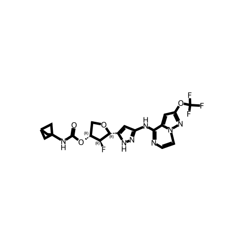 O=C(NC12CC(C1)C2)O[C@@H]1CO[C@H](c2cc(Nc3nccn4nc(OC(F)(F)F)cc34)n[nH]2)[C@H]1F